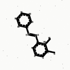 Cc1cccc(N=Nc2ccccc2)c1C